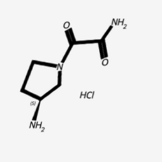 Cl.NC(=O)C(=O)N1CC[C@H](N)C1